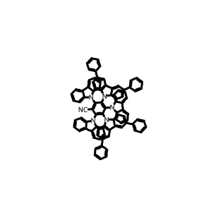 N#Cc1c(-n2c3ccccc3c3ccccc32)c(-n2c3ccc(-c4ccccc4)cc3c3cc(-c4ccccc4)ccc32)c(-n2c3ccccc3c3ccccc32)c(-n2c3ccc(-c4ccccc4)cc3c3cc(-c4ccccc4)ccc32)c1-n1c2ccccc2c2ccccc21